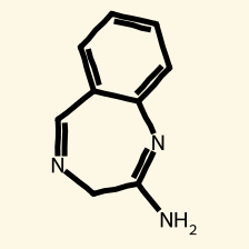 NC1=Nc2ccccc2C=NC1